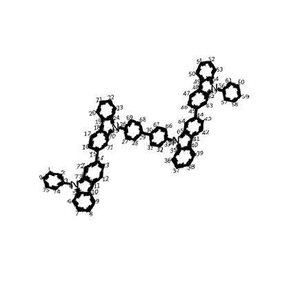 c1ccc(-n2c3ccccc3c3ccc(-c4ccc5c6ccccc6n(-c6ccc(-c7ccc(-n8c9ccccc9c9ccc(-c%10ccc%11c%12ccccc%12n(-c%12ccccc%12)c%11c%10)cc98)cc7)cc6)c5c4)cc32)cc1